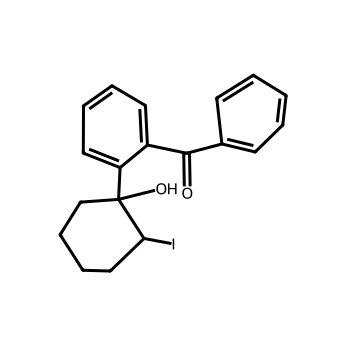 O=C(c1ccccc1)c1ccccc1C1(O)CCCCC1I